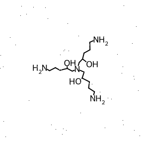 NCCCC(O)CN(CC(O)CCCN)CC(O)CCCN